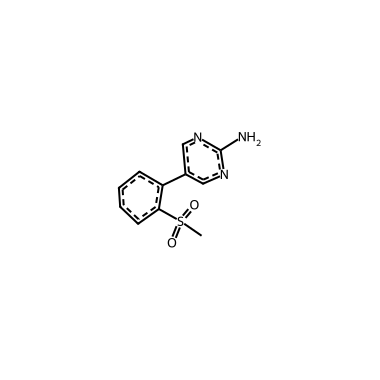 CS(=O)(=O)c1ccccc1-c1cnc(N)nc1